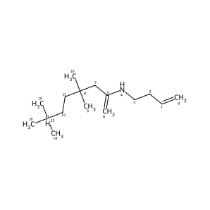 C=CCCNC(=C)CC(C)(C)CC[PH](C)(C)C